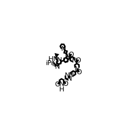 CC(C)n1cnc2cc(-c3ccc4c(c3)N(C3CC(N5CCCCC5)C3)C(=O)C43CCN(C(=O)C4CCN(C(=O)C5CCN(c6ncc([C@H]7CCC(=O)NC7=O)cn6)CC5)CC4)CC3)nc(NC3CC3)c21